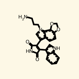 NCCCn1cc(C2=C(c3c[nH]c4ccccc34)C(=O)NC2=O)c2ccc3c(c21)OCO3